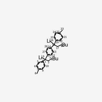 [Li][C](CC(C)CC)(c1ccc(C)cc1)c1ccc([C]([Li])(CC(C)CC)c2ccc(C)cc2)cc1